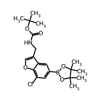 CC(C)(C)OC(=O)NCc1coc2c(Cl)cc(B3OC(C)(C)C(C)(C)O3)cc12